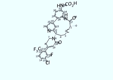 C[C@@H]1CCC[C@H](N2CCC(c3c(C(F)(F)F)ccc(Cl)c3F)=CC2=O)c2cc(ccn2)-c2ccc(NC(=O)O)cc2NC1=O